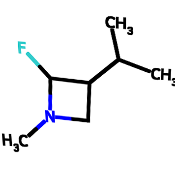 CC(C)C1CN(C)C1F